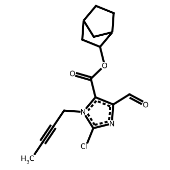 CC#CCn1c(Cl)nc(C=O)c1C(=O)OC1CC2CCC1C2